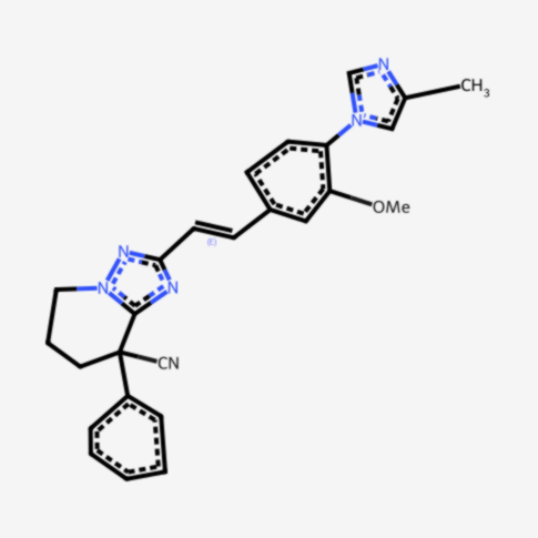 COc1cc(/C=C/c2nc3n(n2)CCCC3(C#N)c2ccccc2)ccc1-n1cnc(C)c1